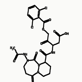 CC(=O)NN1CCC(=O)N2CCCC(C(=O)NC(CC(=O)O)C(=O)COC(=O)c3c(Cl)cccc3Cl)N2C1=O